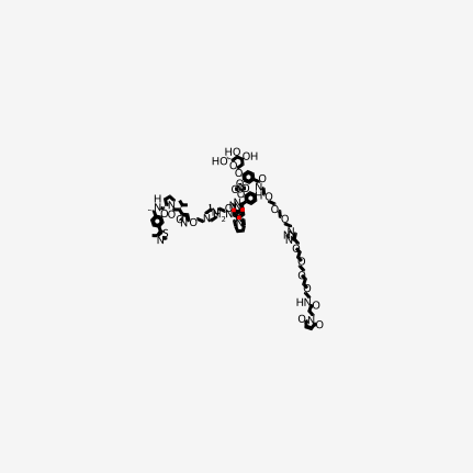 Cc1ncsc1-c1ccc([C@H](C)NC(=O)[C@@H]2CCCN2C(=O)[C@@H](c2cc(OCCN3CCN(CCOc4cc(N5C6CCC5CN(c5cc(-c7ccccc7OS(=O)(=O)Oc7cc(C(=O)NCCOCCOCCOCCn8cc(COCCOCCOCCOCCNC(=O)CCN9C(=O)C=CC9=O)nn8)ccc7O[C@H]7C[C@@H](O)[C@@H](O)[C@@H](CO)O7)nnc5N)C6)ccn4)[C@H](C)C3)no2)C(C)C)cc1